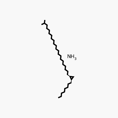 CCCCCCCC[C@@H]1C[C@@H]1CCCCCCCCCCCCCCCCCCCCC(C)C.N